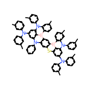 Cc1cccc(N(c2cccc(C)c2)c2cc3c4c(c2)N(c2cccc(C)c2)c2cc(C)ccc2B4c2cc4c(cc2S3)N(c2ccccc2)c2cc(N(c3cccc(C)c3)c3cccc(C)c3)cc3c2B4c2ccc(C)cc2N3c2cccc(C)c2)c1